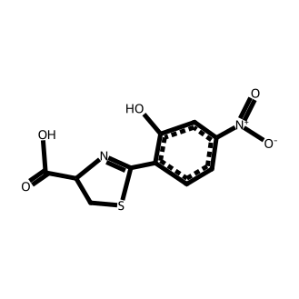 O=C(O)C1CSC(c2ccc([N+](=O)[O-])cc2O)=N1